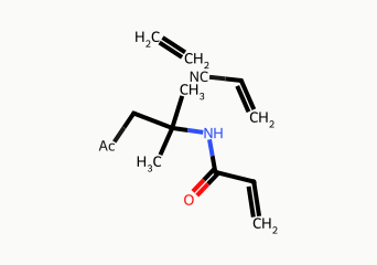 C=C.C=CC#N.C=CC(=O)NC(C)(C)CC(C)=O